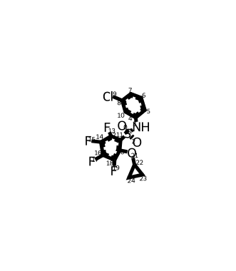 O=S(=O)(Nc1cccc(Cl)c1)c1c(F)c(F)c(F)c(F)c1OC1CC1